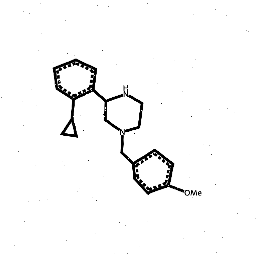 COc1ccc(CN2CCNC(c3ccccc3C3CC3)C2)cc1